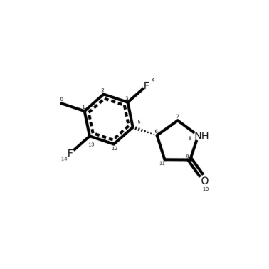 Cc1cc(F)c([C@@H]2CNC(=O)C2)cc1F